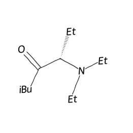 CCC(C)C(=O)[C@H](CC)N(CC)CC